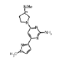 CN[C@@H]1CCN(c2cc(-c3ccn(C)n3)nc(N)n2)C1